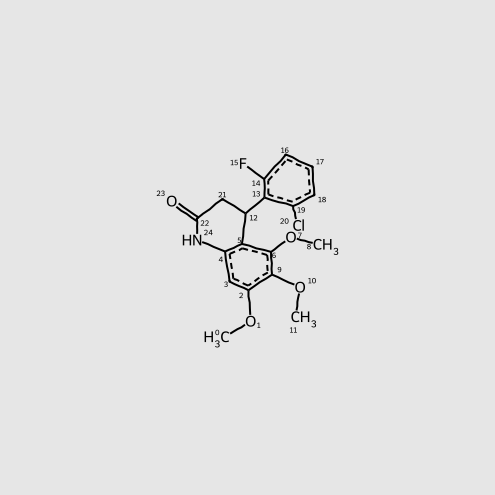 COc1cc2c(c(OC)c1OC)C(c1c(F)cccc1Cl)CC(=O)N2